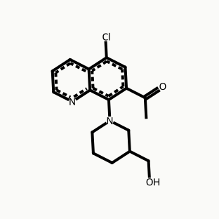 CC(=O)c1cc(Cl)c2cccnc2c1N1CCCC(CO)C1